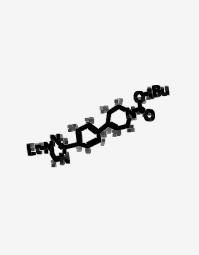 CCn1cnc(-c2ccc(C3=CCN(C(=O)OC(C)(C)C)CC3)cc2)n1